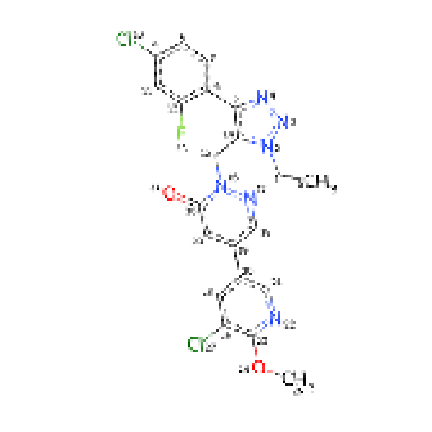 CCn1nnc(-c2ccc(Cl)cc2F)c1Cn1ncc(-c2cnc(OC)c(Cl)c2)cc1=O